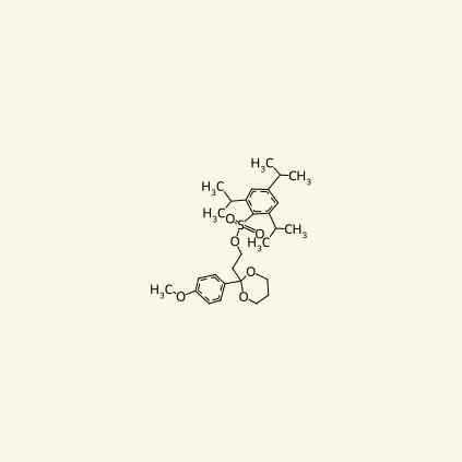 COc1ccc(C2(CCOS(=O)(=O)c3c(C(C)C)cc(C(C)C)cc3C(C)C)OCCCO2)cc1